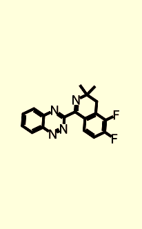 CC1(C)Cc2c(ccc(F)c2F)C(c2nnc3ccccc3n2)=N1